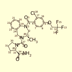 C[C@@H]1CN(C(=O)c2ccc(OCC(F)(F)F)cc2Cl)c2ccccc2CN1C(=O)N1CCC[C@@H]1C(N)=O